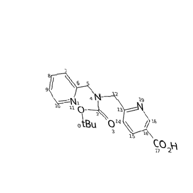 CC(C)(C)OC(=O)N(Cc1ccccn1)Cc1ccc(C(=O)O)cn1